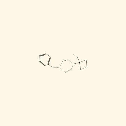 N#CC1(N2CCN(Cc3ccccc3)CC2)CCC1